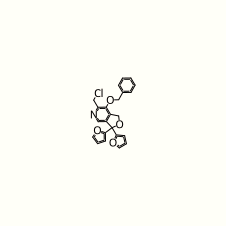 ClCc1ncc2c(c1OCc1ccccc1)COC2(c1ccco1)c1ccco1